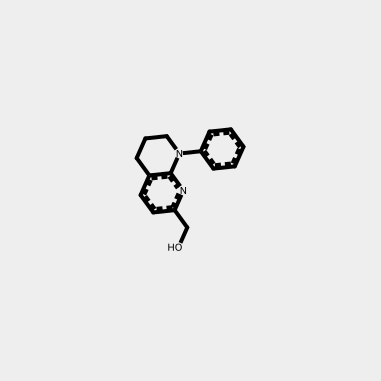 OCc1ccc2c(n1)N(c1ccccc1)CCC2